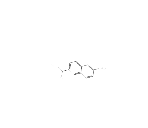 COc1ccc2cc(C(Br)C=O)ccc2c1